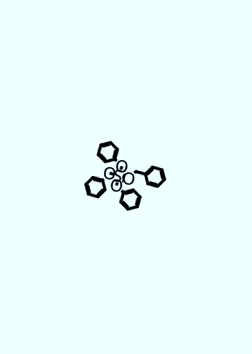 c1ccc(CO[Si](Oc2ccccc2)(Oc2ccccc2)Oc2ccccc2)cc1